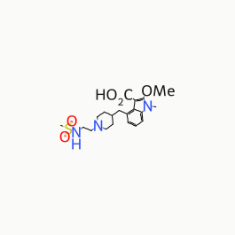 COc1c(C(=O)O)c2c(CC3CCN(CCNS(C)(=O)=O)CC3)cccc2n1C